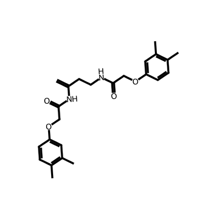 C=C(CCNC(=O)COc1ccc(C)c(C)c1)NC(=O)COc1ccc(C)c(C)c1